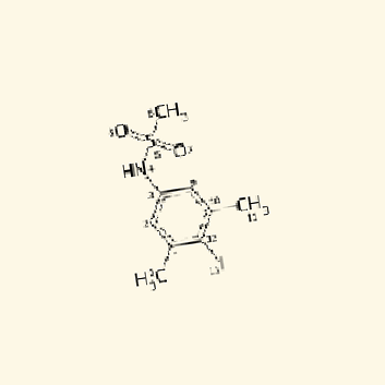 Cc1cc(NS(C)(=O)=O)cc(C)c1I